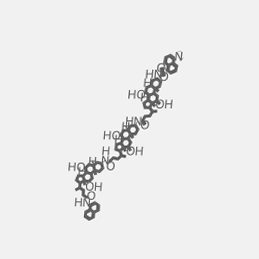 CC(CCC(=O)Nc1cccc2ccccc12)C1CCC2[C@@H]3C(CC(O)C12C)C1(C)CC[C@@H](NC(=O)CCC(C)C2CCC4[C@@H]5C(CC(O)C24C)C2(C)CC[C@@H](NC(=O)CCC(C)C4CCC6[C@@H]7C(CC(O)C46C)C4(C)CC[C@@H](NS(=O)(=O)c6cccc8c(N(C)C)cccc68)C[C@H]4C[C@@H]7O)C[C@H]2C[C@@H]5O)C[C@H]1C[C@@H]3O